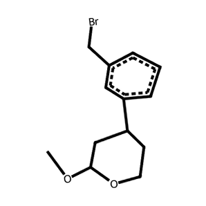 COC1CC(c2cccc(CBr)c2)CCO1